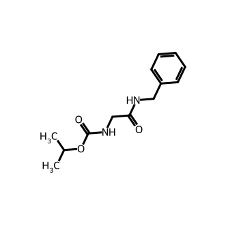 CC(C)OC(=O)NCC(=O)NCc1ccccc1